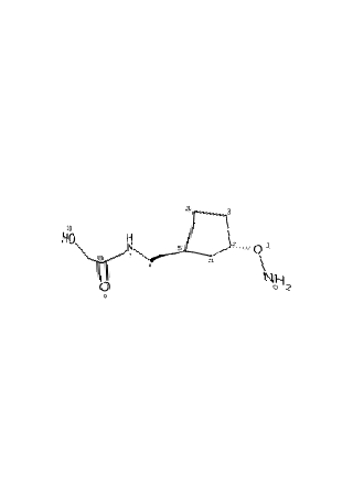 NO[C@H]1CC[C@H](CNC(=O)O)C1